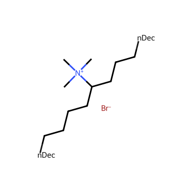 CCCCCCCCCCCCCCC(CCCCCCCCCCCCC)[N+](C)(C)C.[Br-]